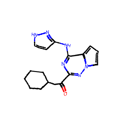 O=C(c1nc(Nc2cc[nH]n2)c2cccn2n1)C1CCCCC1